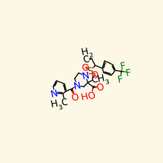 C=CC(c1ccc(C(F)(F)F)cc1)S(=O)(=O)N1CCN(C(=O)c2cccnc2C)CC1(C)C(=O)O